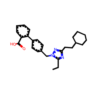 CCc1nc(CCC2CCCCC2)nn1Cc1ccc(-c2ccccc2C(=O)O)cc1